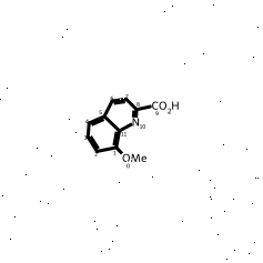 COc1cccc2ccc(C(=O)O)nc12